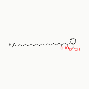 CCCCCCCCCCCCCCCCCC(=O)CC(O)c1ccccc1C(=O)O